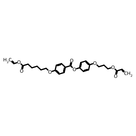 C=COC(=O)CCCCCOc1ccc(C(=O)Oc2ccc(OCCCOC(=O)C=C)cc2)cc1